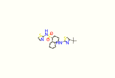 CC(C)(C)c1csc(Nc2ccc(S(=O)(=O)Nc3nccs3)c3ccccc23)n1